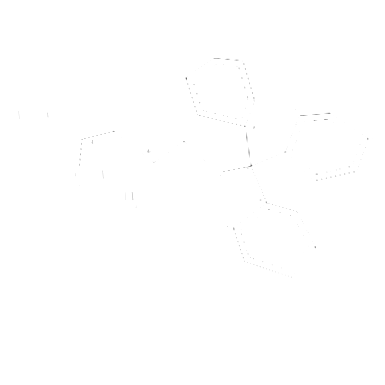 CCCCCCC[C@H](C[C@@H](O)CSC(c1ccccc1)(c1ccccc1)c1ccccc1)C(=O)O